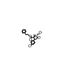 COCCN1C(=O)CC(c2ccc(Cl)cc2)C(C(=O)OCCCc2ccccc2)=C1C